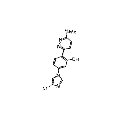 CNc1ccc(-c2ccc(-n3cnc(C#N)c3)cc2O)nn1